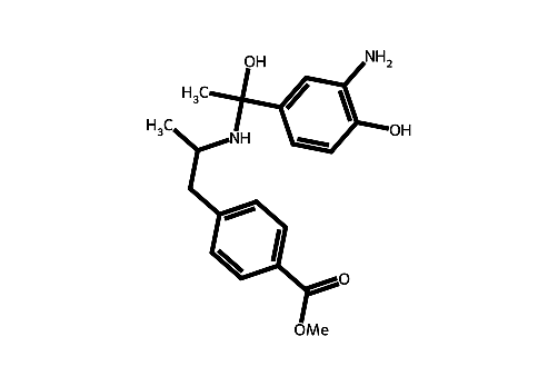 COC(=O)c1ccc(CC(C)NC(C)(O)c2ccc(O)c(N)c2)cc1